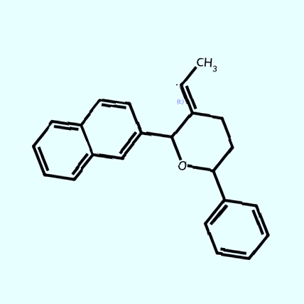 C/[C]=C1\CCC(c2ccccc2)OC1c1ccc2ccccc2c1